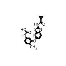 Cc1ccc(NC(=O)O)cc1Oc1ccc2nc(NC(=O)C3CC3)sc2n1